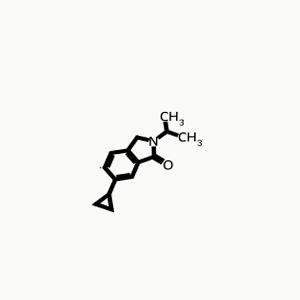 CC(C)N1Cc2c[c]c(C3CC3)cc2C1=O